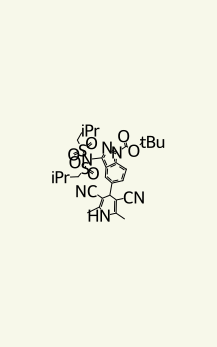 CC1=C(C#N)C(c2ccc3c(c2)c(N(S(=O)(=O)CC(C)C)S(=O)(=O)CC(C)C)nn3C(=O)OC(C)(C)C)C(C#N)=C(C)N1